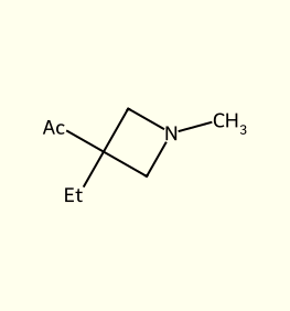 CCC1(C(C)=O)CN(C)C1